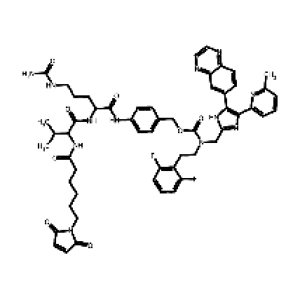 Cc1cccc(-c2nc(CN(CCc3c(F)cccc3F)C(=O)OCc3ccc(NC(=O)C(CCCNC(N)=O)NC(=O)C(NC(=O)CCCCCN4C(=O)C=CC4=O)C(C)C)cc3)[nH]c2-c2ccc3nccnc3c2)n1